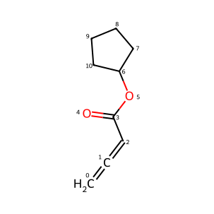 C=C=CC(=O)OC1CCCC1